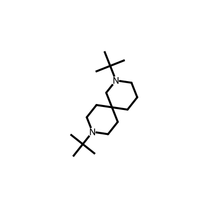 CC(C)(C)N1CCC2(CCCN(C(C)(C)C)C2)CC1